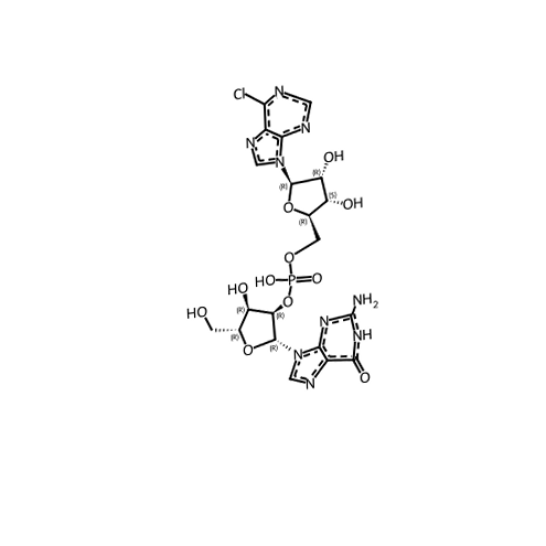 Nc1nc2c(ncn2[C@@H]2O[C@H](CO)[C@@H](O)[C@H]2OP(=O)(O)OC[C@H]2O[C@@H](n3cnc4c(Cl)ncnc43)[C@H](O)[C@@H]2O)c(=O)[nH]1